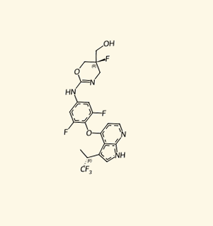 C[C@H](c1c[nH]c2nccc(Oc3c(F)cc(NC4=NC[C@@](F)(CO)CO4)cc3F)c12)C(F)(F)F